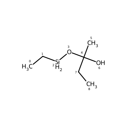 CC[SiH2]OC(C)(O)CC